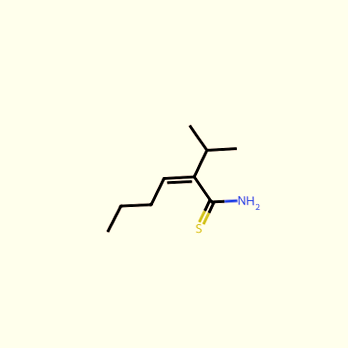 CCCC=C(C(N)=S)C(C)C